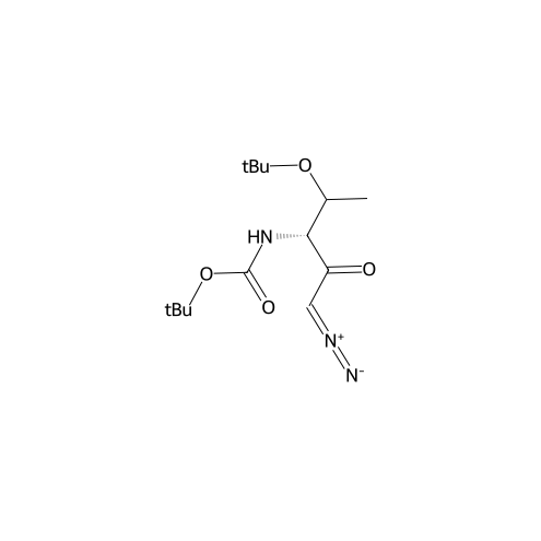 CC(OC(C)(C)C)[C@@H](NC(=O)OC(C)(C)C)C(=O)C=[N+]=[N-]